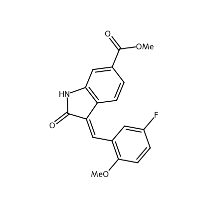 COC(=O)c1ccc2c(c1)NC(=O)/C2=C/c1cc(F)ccc1OC